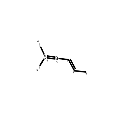 CC=CB=S(I)I